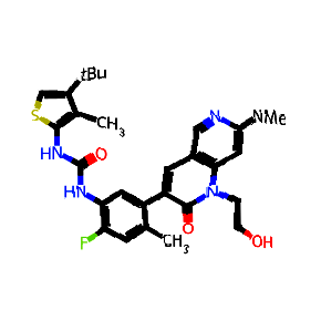 CNc1cc2c(cn1)cc(-c1cc(NC(=O)Nc3scc(C(C)(C)C)c3C)c(F)cc1C)c(=O)n2CCO